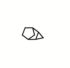 C1CC2CC1C1CC21